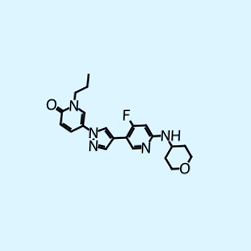 CCCn1cc(-n2cc(-c3cnc(NC4CCOCC4)cc3F)cn2)ccc1=O